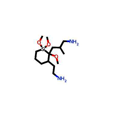 COC1(CC(C)CN)C(CCN)CCC[Si]1(OC)OC